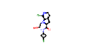 O=C(NC12CC(F)(C1)C2)c1cc2ccnc(Cl)c2n1CCO